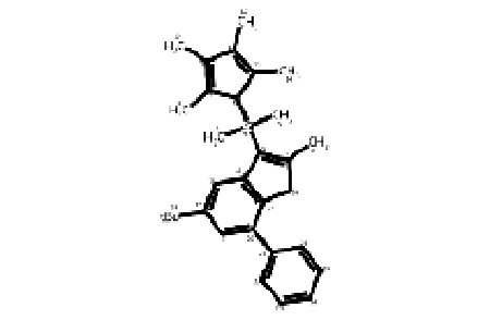 CC1=C([Si](C)(C)C2C(C)=C(C)C(C)=C2C)c2cc(C(C)(C)C)cc(-c3ccccc3)c2C1